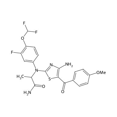 COc1ccc(C(=O)c2sc(N(c3ccc(OC(F)F)c(F)c3)C(C)C(N)=O)nc2N)cc1